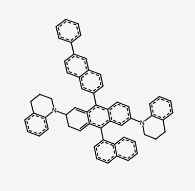 C1=c2c(-c3ccc4cc(-c5ccccc5)ccc4c3)c3ccc(N4CCCc5ccccc54)cc3c(-c3cccc4ccccc34)c2=CCC1N1CCCc2ccccc21